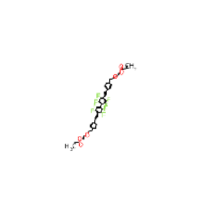 C=CC(=O)OCCOCCc1ccc(C#Cc2c(F)c(F)c(-c3c(F)c(F)c(C#Cc4ccc(CCOCCOC(=O)C=C)cc4)c(F)c3F)c(F)c2F)cc1